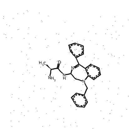 C[C@H](N)C(=O)NC1CN(Cc2ccccc2)c2ccccc2C(c2ccccc2)=N1